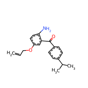 C=CCOc1ccc(N)c(C(=O)c2ccc(C(C)C)cc2)c1